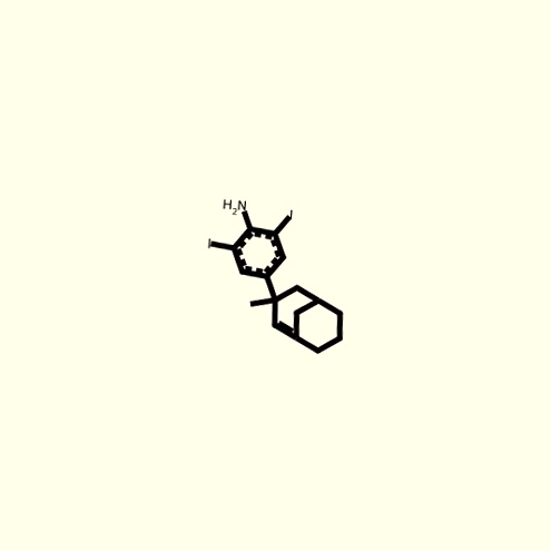 CC1(c2cc(I)c(N)c(I)c2)C=C2CCCC(C2)C1